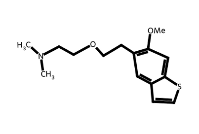 COc1cc2sccc2cc1CCOCCN(C)C